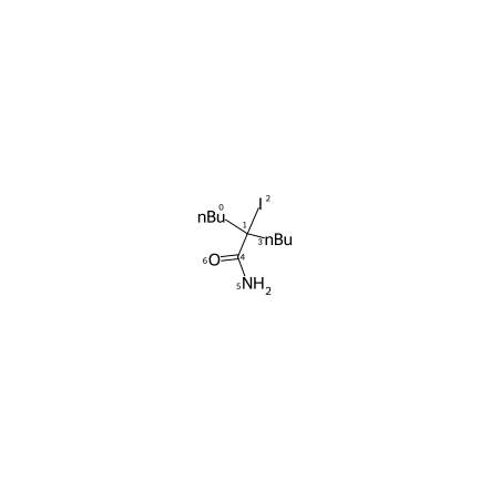 CCCCC(I)(CCCC)C(N)=O